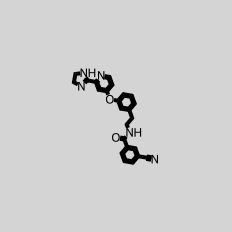 N#Cc1cccc(C(=O)NCCc2cccc(Oc3ccnc(C4=NCCN4)c3)c2)c1